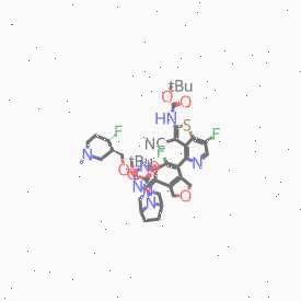 CN1CC[C@H](F)[C@@H](COc2nc(N3C4CCC3CN(C(=O)OC(C)(C)C)C4)c3c4c(c(-c5ncc(F)c6sc(NC(=O)OC(C)(C)C)c(C#N)c56)c(F)c3n2)COC4)C1